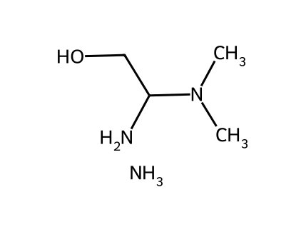 CN(C)C(N)CO.N